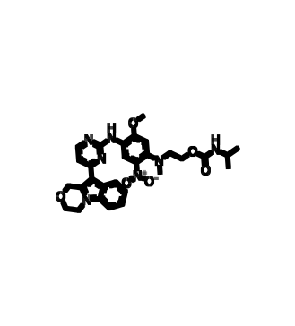 COc1cc(N(C)CCOC(=O)NC(C)C)c([N+](=O)[O-])cc1Nc1nccc(-c2c3n(c4ccccc24)CCOC3)n1